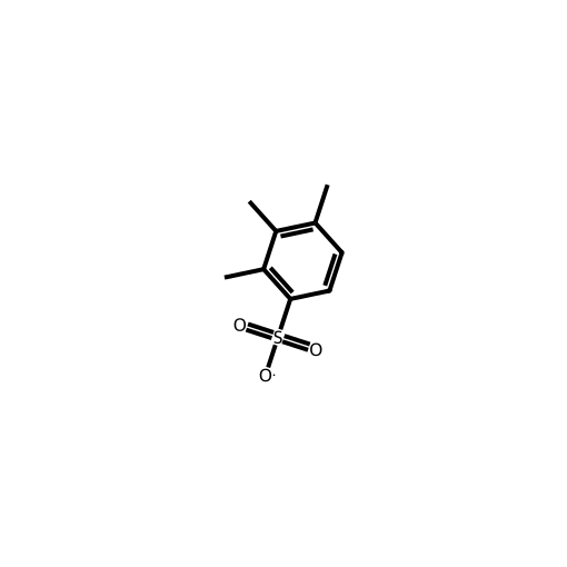 Cc1ccc(S([O])(=O)=O)c(C)c1C